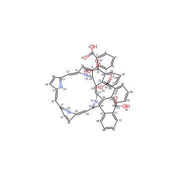 O=C(O)c1ccccc1C1=CC2=CC3=NC(=CC4=NC(=CC5=NC(=C(c6ccccc6C(=O)O)C1=N2)C(c1ccccc1C(=O)O)=C5c1ccccc1C(=O)O)C=C4)C=C3